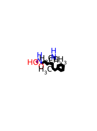 CC(C=CC(=O)NO)=CC(C)Cc1ccccc1.CNC